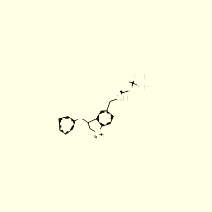 CC(C)(C)OC(=O)NCc1ccc2c(c1)C(Sc1ccccc1)CS2(=O)=O